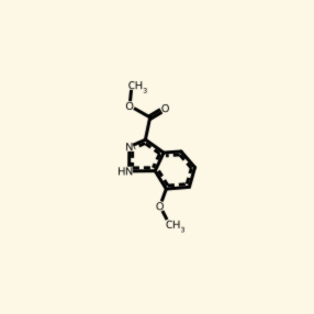 COC(=O)c1n[nH]c2c(OC)cccc12